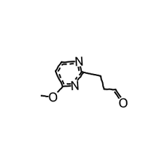 COc1ccnc(CCC=O)n1